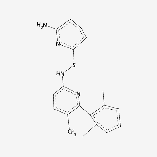 Cc1cccc(C)c1-c1nc(NSc2cccc(N)n2)ccc1C(F)(F)F